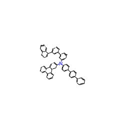 c1ccc(-c2ccc(-c3ccc(N(c4cccc(-c5cccc(-c6cccc7ccccc67)c5)c4)c4ccc5c6ccccc6c6ccccc6c5c4)cc3)cc2)cc1